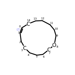 C1=C\CCCCCCOCCCCCC/1